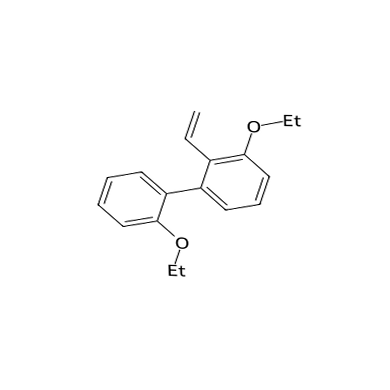 C=Cc1c(OCC)cccc1-c1ccccc1OCC